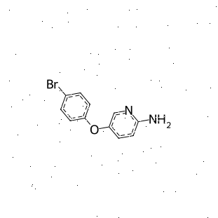 Nc1ccc(Oc2ccc(Br)cc2)cn1